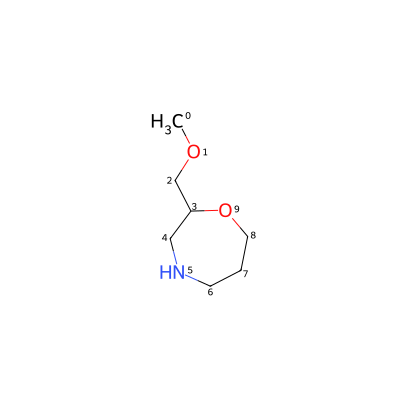 COCC1CNCCCO1